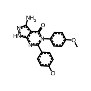 COc1ccc(-n2c(-c3ccc(Cl)cc3)nc3[nH]nc(N)c3c2=O)cc1